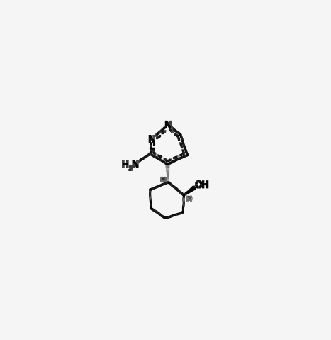 Nc1nnccc1[C@H]1CCCC[C@@H]1O